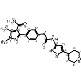 CC(C)n1nc(-c2ccc(CC(=O)Nc3cc(C4CCOCC4)on3)cc2)c(C(N)=O)c1N